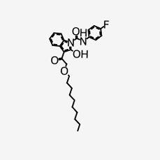 CCCCCCCCCCOCC(=O)c1c(O)n(C(=O)Nc2ccc(F)cc2)c2ccccc12